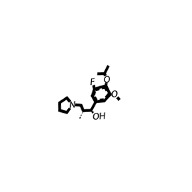 COc1cc([C@@H](O)[C@H](C)CN2CCCC2)cc(F)c1OC(C)C